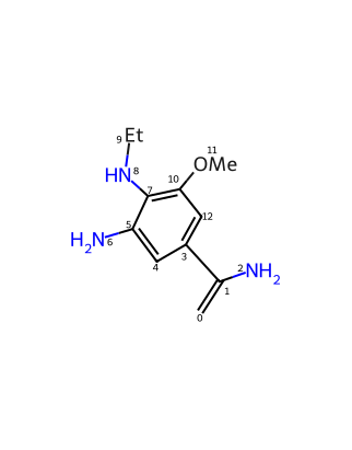 C=C(N)c1cc(N)c(NCC)c(OC)c1